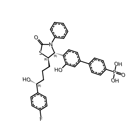 O=C1S[C@H](CCC[C@@H](O)c2ccc(F)cc2)[C@@H](c2ccc(-c3ccc(P(=O)(O)O)cc3)cc2O)N1c1ccccc1